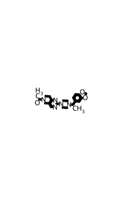 CC(=O)N1CCc2nc(N3CCN(C(C)c4ccc5c(c4)OCO5)CC3)ncc2C1